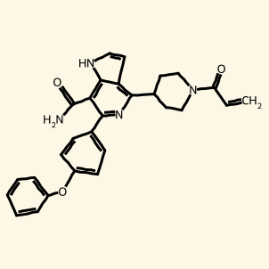 C=CC(=O)N1CCC(c2nc(-c3ccc(Oc4ccccc4)cc3)c(C(N)=O)c3[nH]ccc23)CC1